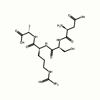 C[C@H](NC(=O)[C@H](CCCNC(=N)N)NC(=O)[C@H](CO)NC(=O)[C@@H](N)CC(=O)O)C(=O)O